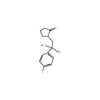 CC(C)(CN1CCCC1=O)c1ccc(I)cc1